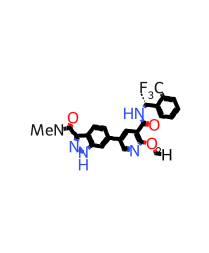 [2H]COc1ncc(-c2ccc3c(C(=O)NC)n[nH]c3c2)cc1C(=O)N[C@H](C)c1ccccc1C(F)(F)F